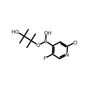 CC(C)(O)C(C)(C)OB(O)c1cc(Cl)ncc1F